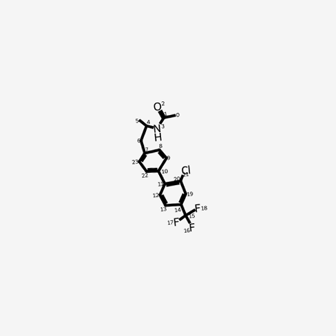 CC(=O)NC(C)Cc1ccc(-c2ccc(C(F)(F)F)cc2Cl)cc1